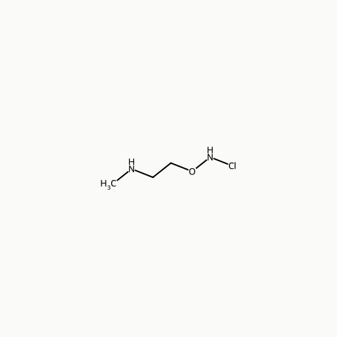 CNCCONCl